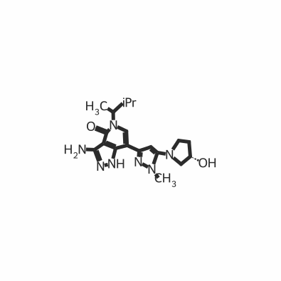 CC(C)C(C)n1cc(-c2cc(N3CC[C@H](O)C3)n(C)n2)c2[nH]nc(N)c2c1=O